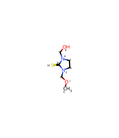 COCN1CCN(CO)C1=S